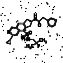 CC(C)(F)CNS(=O)(=O)c1c2c(cc3cnc(C4CC4)cc13)CC(NC(=O)Cc1ccccc1)C2